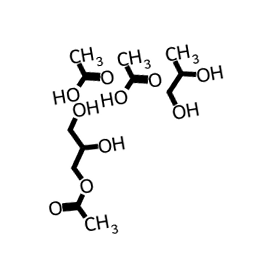 CC(=O)O.CC(=O)O.CC(=O)OCC(O)CO.CC(O)CO